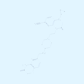 N#Cc1ccc2c(c1)N(CCN1CCC(NCc3ccc4c(n3)NC(=O)CO4)CC1)C(=O)CN2C1CC1